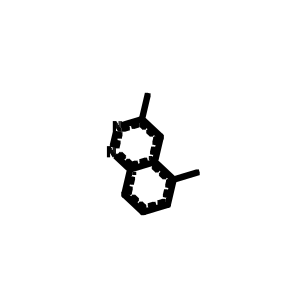 Cc1cc2c(C)cccc2nn1